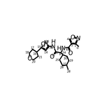 Cc1nocc1C(=O)NC(C(=O)Nc1cc(C2CCOCC2)on1)C1CCC(C)CC1